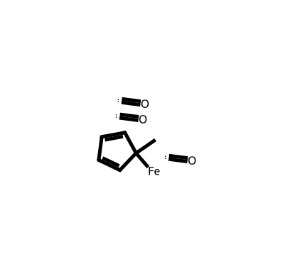 C[C]1([Fe])C=CC=C1.[C]=O.[C]=O.[C]=O